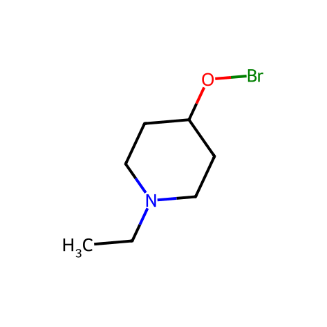 CCN1CCC(OBr)CC1